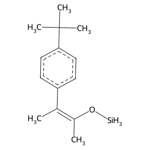 CC(O[SiH3])=C(C)c1ccc(C(C)(C)C)cc1